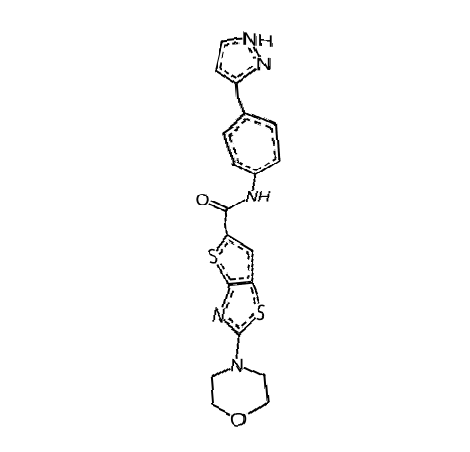 O=C(Nc1ccc(-c2cc[nH]n2)cc1)c1cc2sc(N3CCOCC3)nc2s1